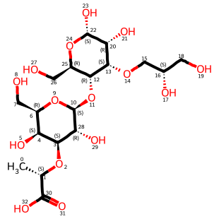 C[C@H](O[C@H]1[C@@H](O)[C@@H](CO)O[C@@H](O[C@H]2[C@@H](OC[C@@H](O)CO)[C@@H](O)[C@@H](O)O[C@@H]2CO)[C@@H]1O)C(=O)O